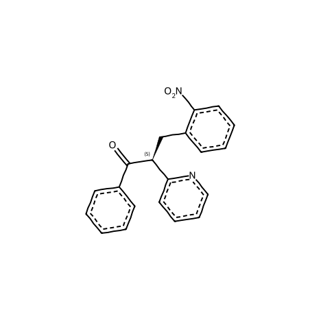 O=C(c1ccccc1)[C@@H](Cc1ccccc1[N+](=O)[O-])c1ccccn1